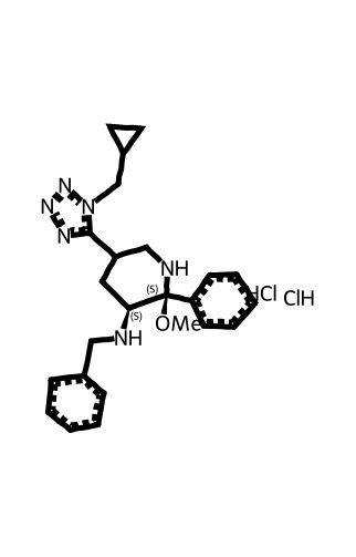 CO[C@]1(c2ccccc2)NCC(c2nnnn2CC2CC2)C[C@@H]1NCc1ccccc1.Cl.Cl